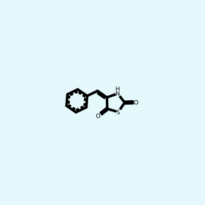 O=C1NC(=Cc2ccccc2)C(=O)S1